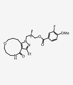 CCc1nn(C[C@@H](C)COC(=O)c2ccc(OC)c(F)c2)c2c1C(=O)NCCCOCCC2